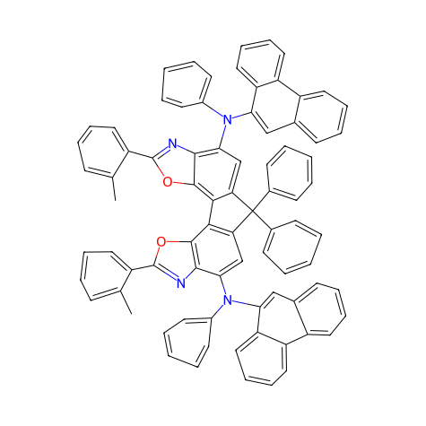 Cc1ccccc1-c1nc2c(N(c3ccccc3)c3cc4ccccc4c4ccccc34)cc3c(c2o1)-c1c(cc(N(c2ccccc2)c2cc4ccccc4c4ccccc24)c2nc(-c4ccccc4C)oc12)C3(c1ccccc1)c1ccccc1